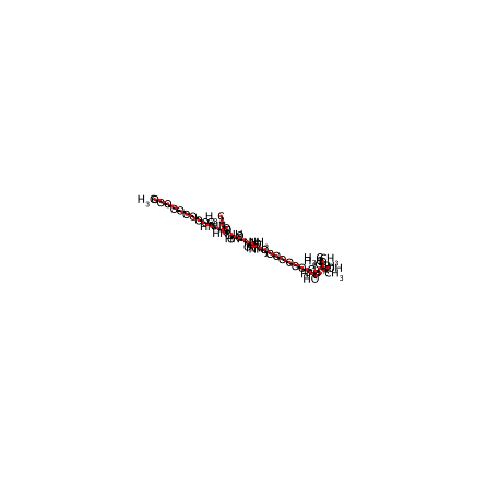 CCCCNC(=O)[C@H](CCCCNC(=O)COCCOCCOCCOCCOCCOCCOCCOCCOC)NC(=O)CNC(=O)CNC(=O)CCCNC(=O)[C@@H](N)[C@H](N)C(=O)NCCOCCOCCOCCOCCOCCOCCOCCOC(=O)Nc1cc(C[C@@H](C[C@H](C)C(=O)O)NC(=O)OC(C)(C)C)ccc1O